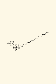 CCCCCCCCCCCCCCCCOP(=O)(O)OC1C[N+]2(C)CCC1CC2